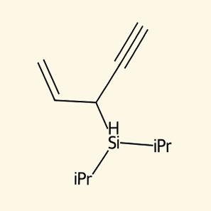 C#CC(C=C)[SiH](C(C)C)C(C)C